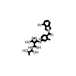 CC(=O)c1cccc2c1CN(C(=O)c1ccc(Nc3snc(O)c3C(=N)NC(O)C(C)O)cc1C)C2